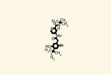 CC(C)(C)NC(=O)c1cc(NC(=O)Cc2cc(O)c(C(C)(C)C)cc2Br)ccn1